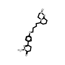 CN1N=C(c2ccc(OCCCCC3CCCC4=N[S+]([O-])CCN43)cc2)CCC1=O